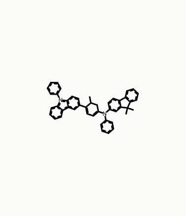 CC1CC(N(c2ccccc2)c2ccc3c(c2)C(C)(C)c2ccccc2-3)=CC=C1c1ccc2c(c1)c1ccccc1n2-c1ccccc1